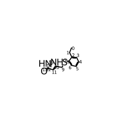 CCc1ccccc1SCc1cc(=O)[nH][nH]1